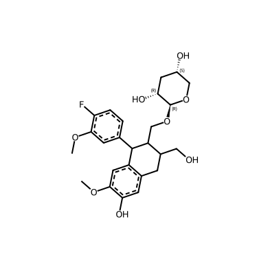 COc1cc2c(cc1O)CC(CO)C(CO[C@@H]1OC[C@@H](O)C[C@H]1O)C2c1ccc(F)c(OC)c1